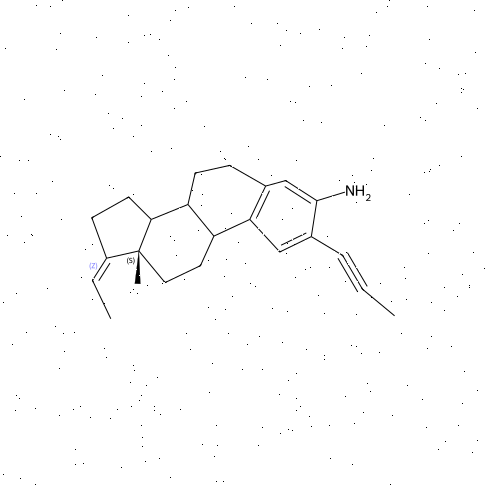 CC#Cc1cc2c(cc1N)CCC1C2CC[C@]2(C)/C(=C\C)CCC12